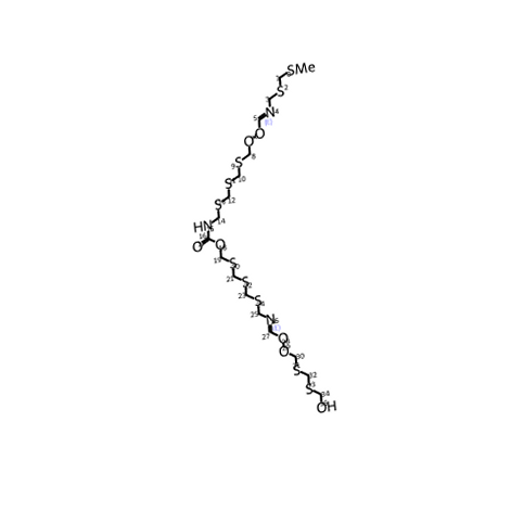 CSCSC/N=C/OOCSCSCSCNC(=O)OCSCSCSC/N=C/OOCSCSCO